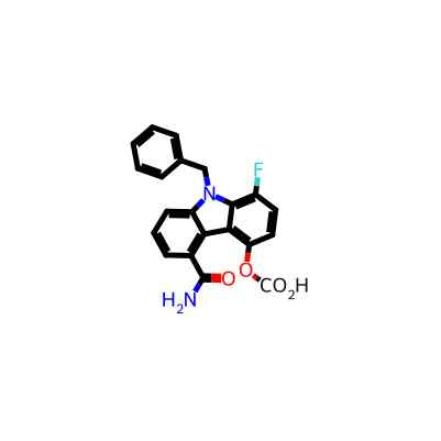 NC(=O)c1cccc2c1c1c(OC(=O)O)ccc(F)c1n2Cc1ccccc1